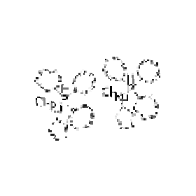 [Cl][Ru]([CH]1C=CC=C1)[PH](c1ccccc1)(c1ccccc1)c1ccccc1.[Cl][Ru]([CH]1C=CC=C1)[PH](c1ccccc1)(c1ccccc1)c1ccccc1